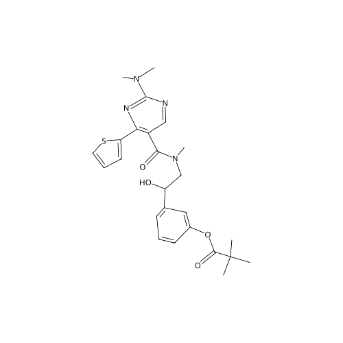 CN(CC(O)c1cccc(OC(=O)C(C)(C)C)c1)C(=O)c1cnc(N(C)C)nc1-c1cccs1